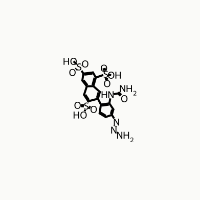 NN=Nc1ccc(-c2cc3c(S(=O)(=O)O)cc(S(=O)(=O)O)cc3cc2S(=O)(=O)O)c(NC(N)=O)c1